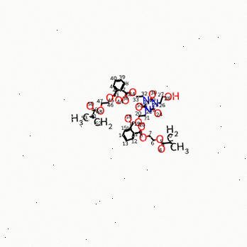 C=C(C)C(=O)OCCOC(=O)c1ccccc1C(=O)OCCn1c(=O)n(CCO)c(=O)n(CCOC(=O)c2ccccc2C(=O)OCCOC(=O)C(=C)C)c1=O